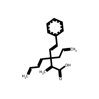 C=CC=CC(C=Cc1ccccc1)(CC=C)C(=C)C(=O)O